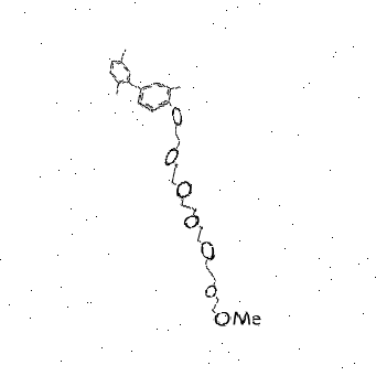 COCCOCCOCCOCCOCCOCCOc1ccc(-c2cc(C)ccc2C)cc1C